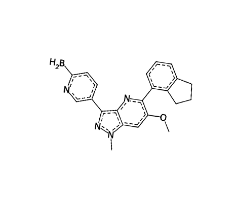 Bc1ccc(-c2nn(C)c3cc(OC)c(-c4cccc5c4CCC5)nc23)cn1